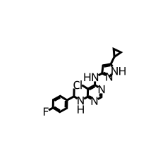 CC(Nc1ncnc(Nc2cc(C3CC3)[nH]n2)c1Cl)c1ccc(F)cc1